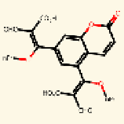 CCCOC(=C(C=O)C(=O)O)c1cc(C(OCCC)=C(C=O)C(=O)O)c2ccc(=O)oc2c1